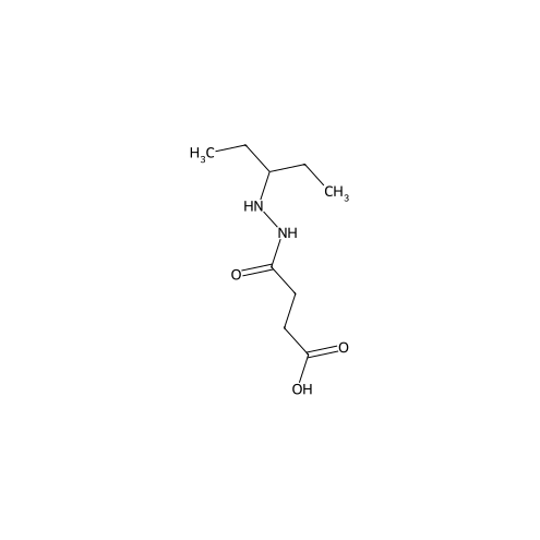 CCC(CC)NNC(=O)CCC(=O)O